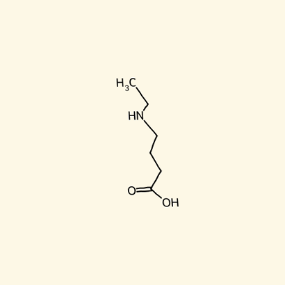 CCNCCCC(=O)O